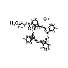 CC(C)=CCOC(=O)c1cccc2c3nc4nc(nc5[nH]c(nc6nc(nc([nH]3)c12)-c1ccccc1-6)c1ccccc51)-c1ccccc1-4.[Cu]